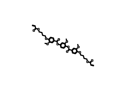 C=CC(=O)OCCCCOc1ccc(C(=O)Oc2ccc(OC(=O)c3ccc(OCCCCOC(=O)C=C)c(OC)c3)c(OC)c2)cc1OC